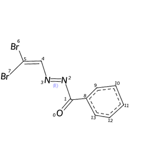 O=C(/N=N/C=C(Br)Br)c1ccccc1